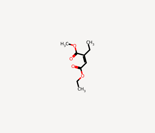 CCOC(=O)C=C(CC)C(=O)OC